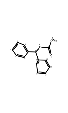 COC(=O)OC(c1ccccc1)c1ccccc1